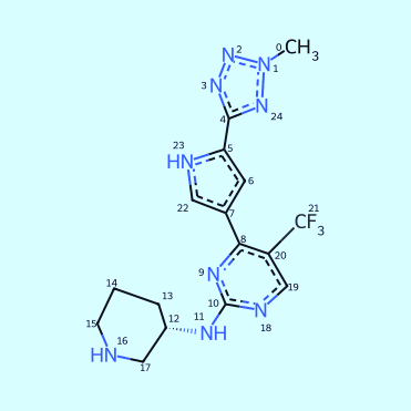 Cn1nnc(-c2cc(-c3nc(N[C@H]4CCCNC4)ncc3C(F)(F)F)c[nH]2)n1